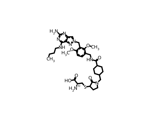 CCCCNc1nc(N)nc2cn(Cc3c(OC)ccc(CNC(=O)C4CCC(CN5CCC(SC[C@@H](N)C(=O)O)C5=O)CC4)c3OC)nc12